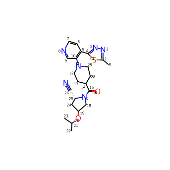 Cc1nnc(-c2ccncc2N2CCC(C(=O)N3C[C@@H](OC(C)C)C[C@@H]3C#N)CC2)s1